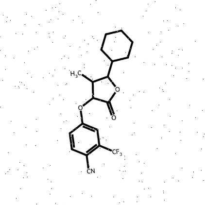 CC1C(Oc2ccc(C#N)c(C(F)(F)F)c2)C(=O)OC1C1CCCCC1